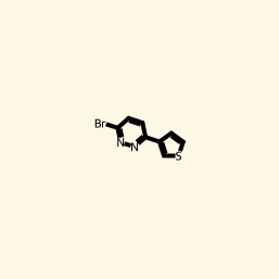 Brc1ccc(-c2ccsc2)nn1